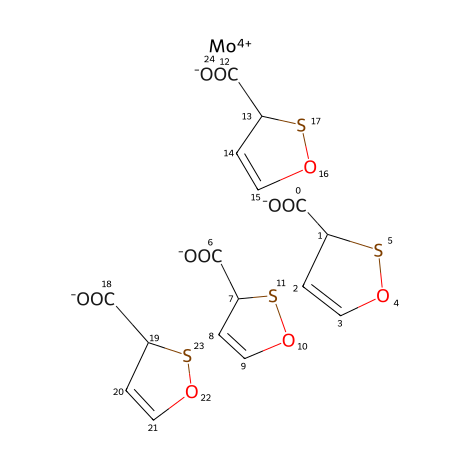 O=C([O-])C1C=COS1.O=C([O-])C1C=COS1.O=C([O-])C1C=COS1.O=C([O-])C1C=COS1.[Mo+4]